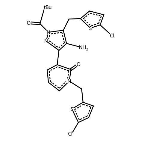 CC(C)(C)C(=O)n1nc(-c2cccn(Cc3ccc(Cl)s3)c2=O)c(N)c1Cc1ccc(Cl)s1